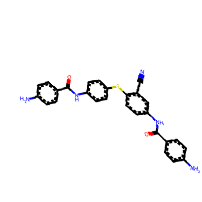 N#Cc1cc(NC(=O)c2ccc(N)cc2)ccc1Sc1ccc(NC(=O)c2ccc(N)cc2)cc1